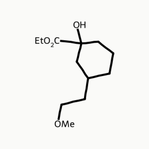 CCOC(=O)C1(O)CCCC(CCOC)C1